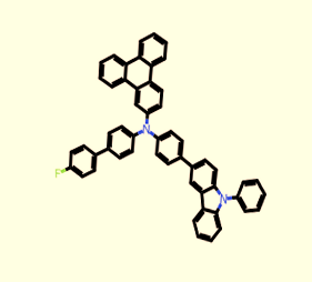 Fc1ccc(-c2ccc(N(c3ccc(-c4ccc5c(c4)c4ccccc4n5-c4ccccc4)cc3)c3ccc4c5ccccc5c5ccccc5c4c3)cc2)cc1